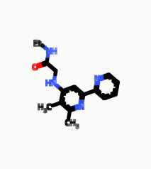 CCNC(=O)CNc1cc(-c2ccccn2)nc(C)c1C